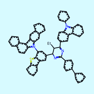 CCC1C(c2ccc3c(c2)c2ccccc2n3-c2ccccc2)=NC(c2ccc(-c3ccccc3)cc2)=NC1c1cc(-n2c3cc4ccccc4cc3c3c4ccccc4ccc32)c2sc3ccccc3c2c1